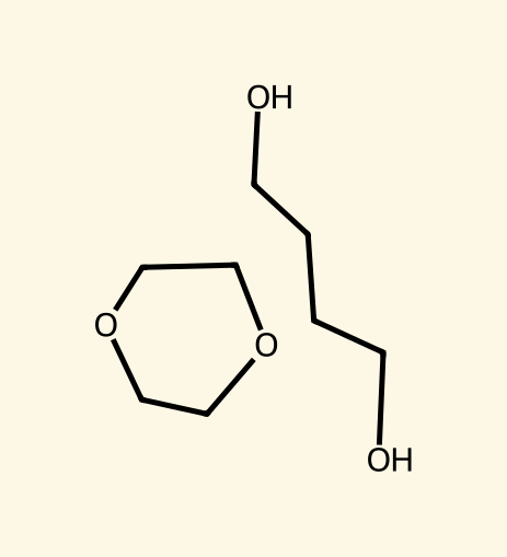 C1COCCO1.OCCCCO